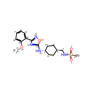 CC(C)S(=O)(=O)NC[C@H]1CC[C@H](Nc2nc(-c3ccccc3OC(F)(F)F)no2)CC1